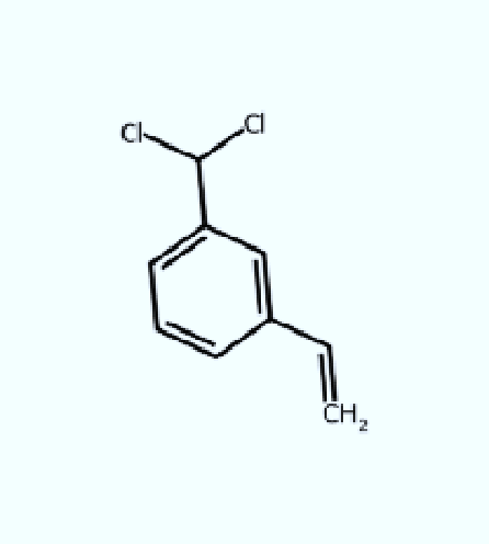 C=Cc1cccc(C(Cl)Cl)c1